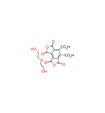 O=C(O)c1c(C(=O)O)c2c(=O)oc(=O)c2c2c(=O)oc(=O)c12.OCCOCCO